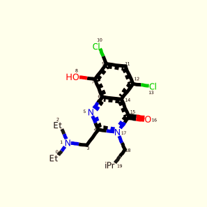 CCN(CC)Cc1nc2c(O)c(Cl)cc(Cl)c2c(=O)n1CC(C)C